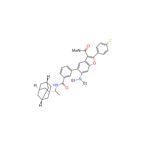 CCN(CC)c1cc2oc(-c3ccc(F)cc3)c(C(=O)NC)c2cc1-c1cccc(C(=O)NC(C)[C@]23C[C@H]4C[C@H](C[C@H](C4)C2)C3)c1